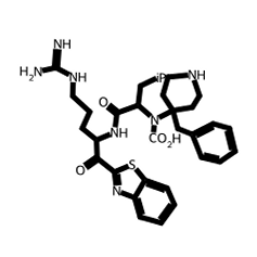 CC(C)CC(C(=O)NC(CCCNC(=N)N)C(=O)c1nc2ccccc2s1)N(C(=O)O)C1(Cc2ccccc2)CCNCC1